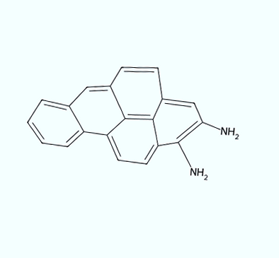 Nc1cc2ccc3cc4ccccc4c4ccc(c1N)c2c34